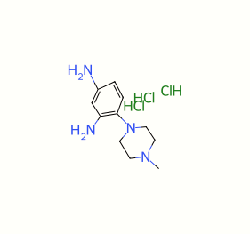 CN1CCN(c2ccc(N)cc2N)CC1.Cl.Cl.Cl